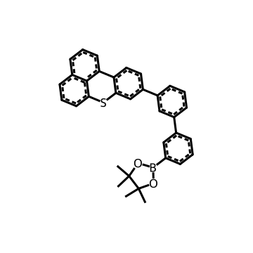 CC1(C)OB(c2cccc(-c3cccc(-c4ccc5c(c4)Sc4cccc6cccc-5c46)c3)c2)OC1(C)C